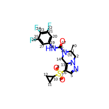 C[C@H]1Cn2ncc(S(=O)(=O)C3CC3)c2CN1C(=O)Nc1cc(F)c(F)c(F)c1